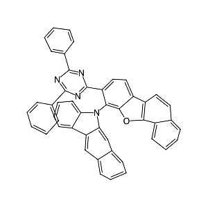 c1ccc(-c2nc(-c3ccccc3)nc(-c3ccc4c(oc5c6ccccc6ccc45)c3-n3c4ccccc4c4cc5ccccc5cc43)n2)cc1